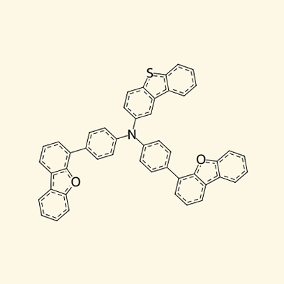 c1ccc2c(c1)oc1c(-c3ccc(N(c4ccc(-c5cccc6c5oc5ccccc56)cc4)c4ccc5sc6ccccc6c5c4)cc3)cccc12